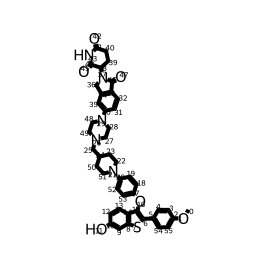 COc1ccc(-c2sc3cc(O)ccc3c2Oc2ccc(N3CCC(CN4CCN(c5ccc6c(c5)CN(C5CCC(=O)NC5=O)C6=O)CC4)CC3)cc2)cc1